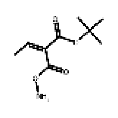 CC=C(C(=O)ON)C(=O)OC(C)(C)C